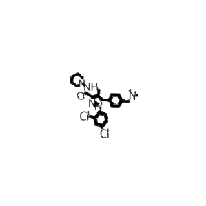 Cc1c(C(=O)NN2CCCCC2)nn(-c2ccc(Cl)cc2Cl)c1-c1ccc(CN(C)C)cc1